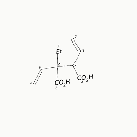 C=CC(C(=O)O)C(C=C)(CC)C(=O)O